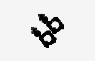 O=S(=O)([O-])c1ccc(-c2cc3cc4nc(cc5ccc(cc6nc(cc2[nH]3)C=C6)[nH]5)C=C4)cc1.O=S(=O)([O-])c1ccc(-c2cc3cc4nc(cc5ccc(cc6nc(cc2[nH]3)C=C6)[nH]5)C=C4)cc1.[Fe+2]